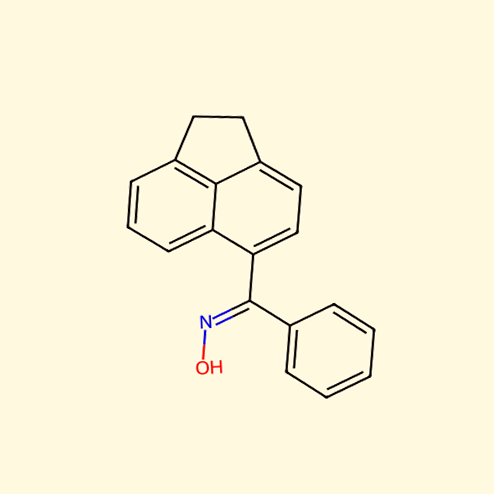 ON=C(c1ccccc1)c1ccc2c3c(cccc13)CC2